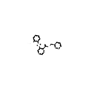 COc1ccccc1S(=O)(=O)c1ccccc1C(=O)NCc1ccccc1